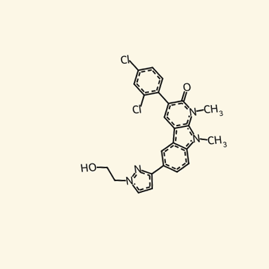 Cn1c(=O)c(-c2ccc(Cl)cc2Cl)cc2c3cc(-c4ccn(CCO)n4)ccc3n(C)c21